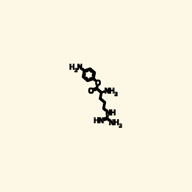 N=C(N)NCCC[C@H](N)C(=O)Oc1ccc(N)cc1